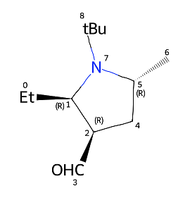 CC[C@@H]1[C@H](C=O)C[C@@H](C)N1C(C)(C)C